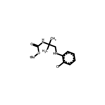 CC(C)(CNc1ccccc1Cl)NC(=O)OC(C)(C)C